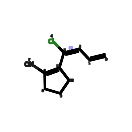 C=C/C=C(/Cl)C1=C(N=O)CCC1